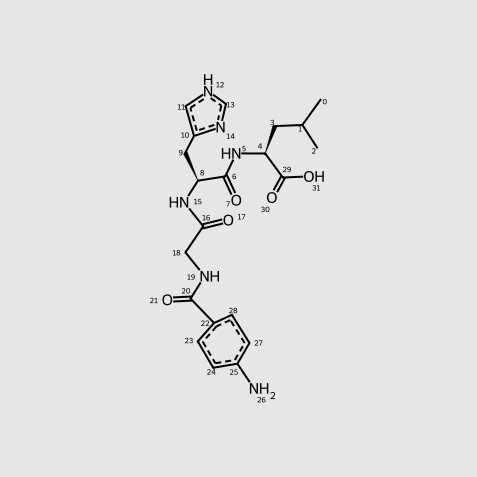 CC(C)C[C@H](NC(=O)[C@H](Cc1c[nH]cn1)NC(=O)CNC(=O)c1ccc(N)cc1)C(=O)O